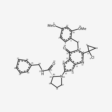 COc1ccc(Cn2c(C3(Cl)CC3)nc3sc(N4CCC[C@@H]4C(=O)NCc4ccccc4)nc3c2=O)c(OC)c1